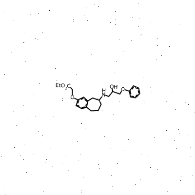 CCOC(=O)COc1ccc2c(c1)CC(NCC(O)COc1ccccc1)CCC2